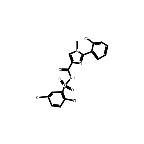 Cn1cc(C(=O)NS(=O)(=O)c2cc(Cl)ccc2Cl)nc1-c1ccccc1Cl